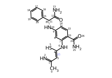 CC(=N)/C=C(\S)Nc1cc(N[C@@H](C(N)=O)c2ccccc2)ccc1C(N)=O